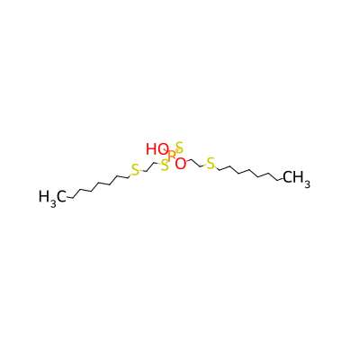 CCCCCCCCSCCOP(O)(=S)SCCSCCCCCCCC